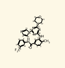 Cc1ccc(C(=O)Nc2cccc(C(F)(F)F)c2)cc1Nc1nc(N2CCOCC2)nc(-n2ccnc2)n1